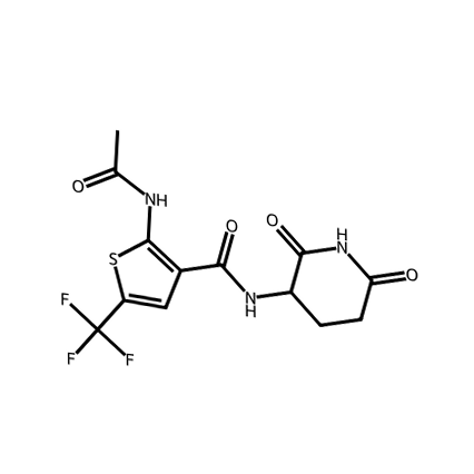 CC(=O)Nc1sc(C(F)(F)F)cc1C(=O)NC1CCC(=O)NC1=O